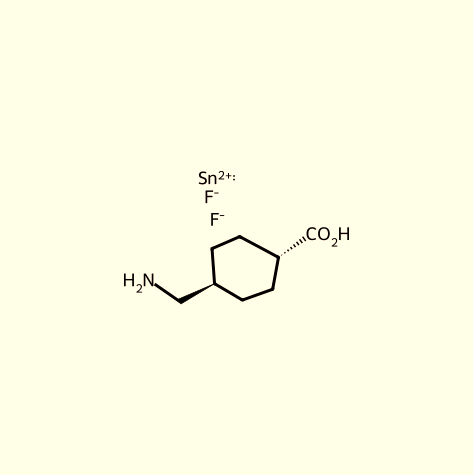 NC[C@H]1CC[C@H](C(=O)O)CC1.[F-].[F-].[Sn+2]